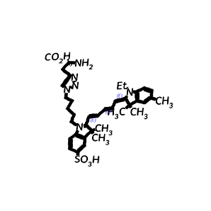 CCN1/C(=C/C=C/C=C/C2=[N+](CCCCCn3cc(C[C@@H](N)C(=O)O)nn3)c3ccc(S(=O)(=O)O)cc3C2(C)C)C(C)(C)c2cc(C)ccc21